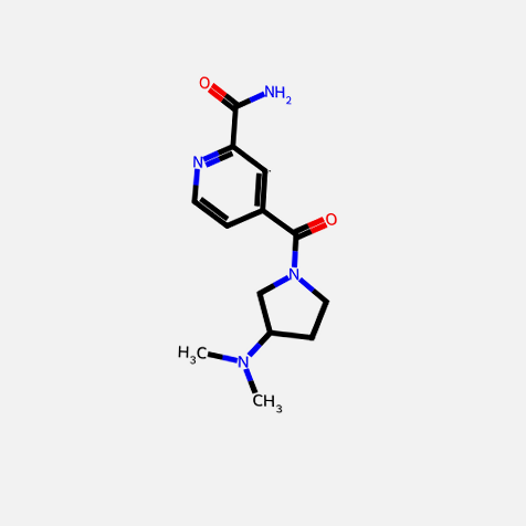 CN(C)C1CCN(C(=O)c2[c]c(C(N)=O)ncc2)C1